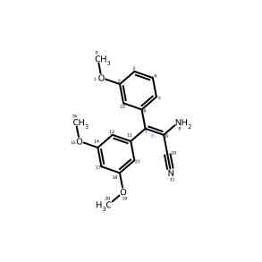 COc1cccc(/C(=C(\N)C#N)c2cc(OC)cc(OC)c2)c1